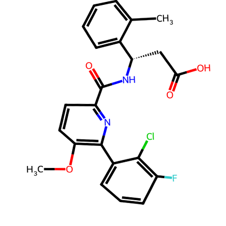 COc1ccc(C(=O)N[C@@H](CC(=O)O)c2ccccc2C)nc1-c1cccc(F)c1Cl